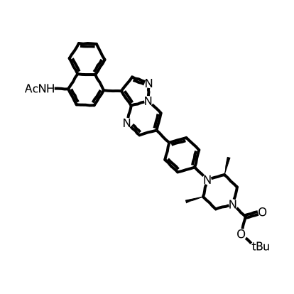 CC(=O)Nc1ccc(-c2cnn3cc(-c4ccc(N5[C@H](C)CN(C(=O)OC(C)(C)C)C[C@@H]5C)cc4)cnc23)c2ccccc12